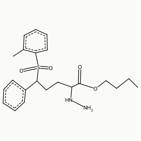 CCCCOC(=O)C(CCC(c1ccccc1)S(=O)(=O)c1ccccc1C)NN